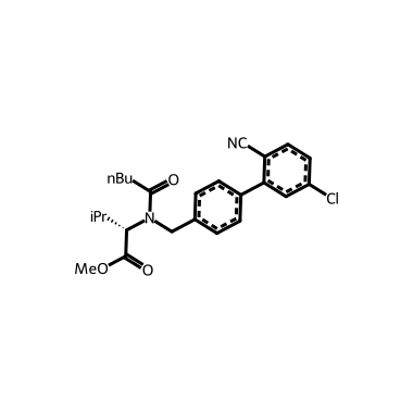 CCCCC(=O)N(Cc1ccc(-c2cc(Cl)ccc2C#N)cc1)[C@H](C(=O)OC)C(C)C